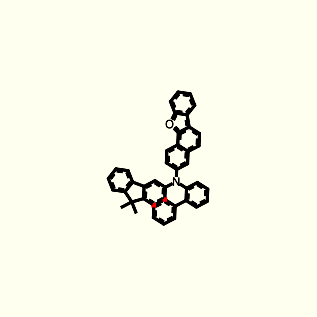 CC1(C)c2ccccc2-c2cc(N(c3ccc4c(ccc5c6ccccc6oc45)c3)c3ccccc3-c3ccccc3)ccc21